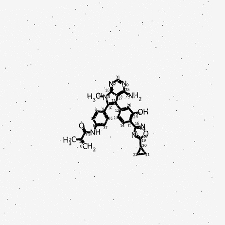 C=C(C)C(=O)Nc1ccc(-c2c(-c3ccc(-c4noc(C5CC5)n4)c(O)c3)c3c(N)ncnc3n2C)cc1